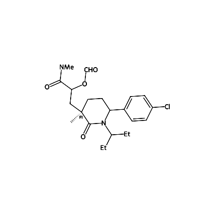 CCC(CC)N1C(=O)[C@@](C)(CC(OC=O)C(=O)NC)CCC1c1ccc(Cl)cc1